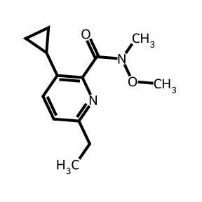 CCc1ccc(C2CC2)c(C(=O)N(C)OC)n1